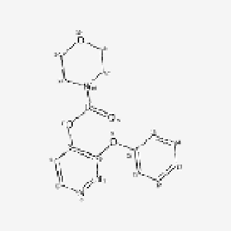 O=C(Oc1ccnnc1Oc1ccccc1)N1CCOCC1